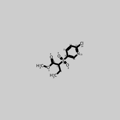 CCC(C(=O)OC)S(=O)(=O)c1ccc(Cl)nc1